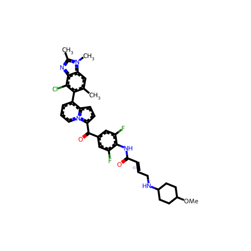 COC1CCC(NC/C=C/C(=O)Nc2c(F)cc(C(=O)c3ccc4c(-c5c(C)cc6c(nc(C)n6C)c5Cl)cccn34)cc2F)CC1